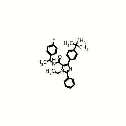 CCn1c(-c2ccccc2)nc(-c2ccc(C(C)(C)C)cc2)c1C(=O)NC(C)c1ccc(F)cc1